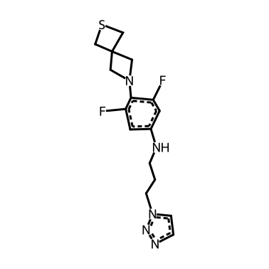 Fc1cc(NCCCn2ccnn2)cc(F)c1N1CC2(CSC2)C1